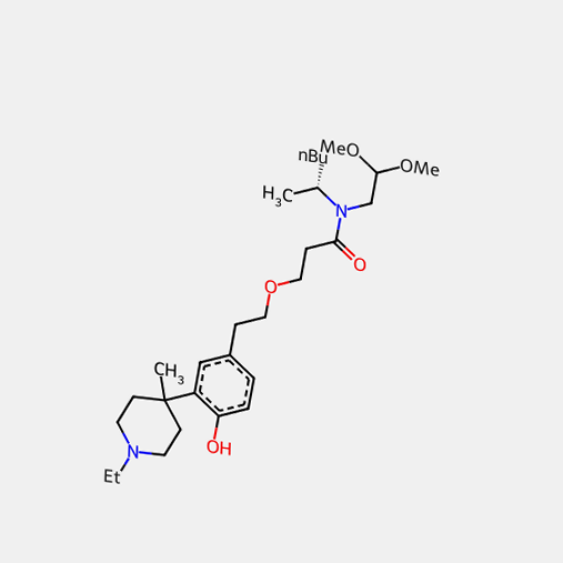 CCCC[C@@H](C)N(CC(OC)OC)C(=O)CCOCCc1ccc(O)c(C2(C)CCN(CC)CC2)c1